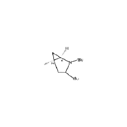 CC(C)(C)C1C[C@@]2(C)C[C@H]2N1C(C)(C)C